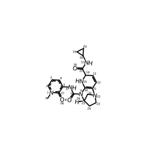 Cn1cccc(NC(=O)N2C3=C(C=CC(C(=O)NC4CC4)N3)N3CC[C@H]2C3)c1=O